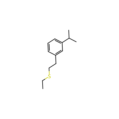 CCSCCc1cccc(C(C)C)c1